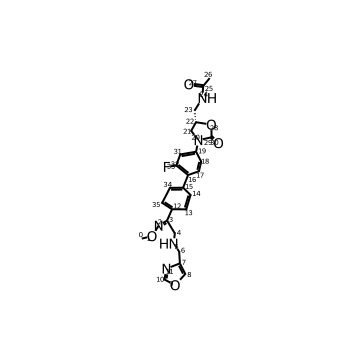 CO/N=C(\CNCc1cocn1)c1ccc(-c2ccc(N3C[C@H](CNC(C)=O)OC3=O)cc2F)cc1